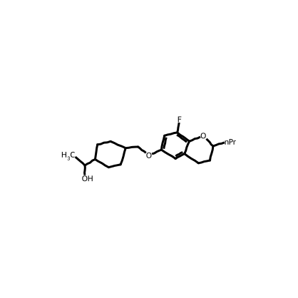 CCCC1CCc2cc(OCC3CCC(C(C)O)CC3)cc(F)c2O1